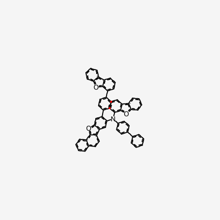 c1ccc(-c2ccc(N(c3cc4c(cc3-c3ccc(-c5cccc6c5oc5ccccc56)cc3)oc3c5ccccc5ccc43)c3cccc4c3oc3ccccc34)cc2)cc1